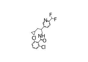 O=C(NCC(CC1CC1)c1ccc(C(F)F)nc1)c1c(Cl)cccc1Cl